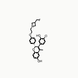 CC1=C(c2ccc(Cl)c(O)c2)[C@@H](c2ccc(OCCN3CC(CF)C3)cc2)Oc2ccc(O)cc21